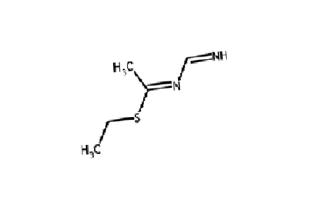 CCS/C(C)=N/C=N